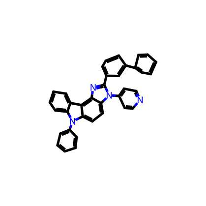 c1ccc(-c2cccc(-c3nc4c5c6ccccc6n(-c6ccccc6)c5ccc4n3-c3ccncc3)c2)cc1